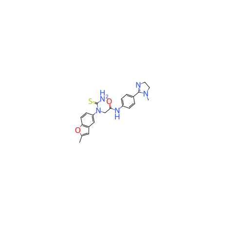 Cc1cc2cc(N(CC(=O)Nc3ccc(C4=NCCN4C)cc3)C(N)=S)ccc2o1